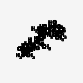 COC[C@@H](Nc1c(Nc2ccc(Cl)c(S(=O)(=O)N(C)C)c2O)c(=O)c1=O)c1cccc(CN(C)S(=O)(=O)c2c(Cl)ccc(Nc3c(N[C@@H](c4ccccc4)C(C)(C)C)c(=O)c3=O)c2O)c1